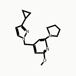 COc1cc(Cn2ccc(C3CC3)n2)cc(N2CCCC2)n1